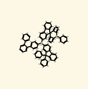 c1ccc(-c2ccccc2-c2ccc(N(c3ccc4c(c3)C(c3ccccc3)(c3ccccc3)c3ccccc3-4)c3ccc4c(c3)C3(c5ccccc5-4)c4ccccc4N(c4ccccc4)c4ccccc43)cc2)cc1